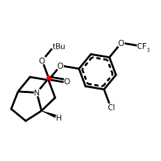 CC(C)(C)OC(=O)N1C2CC[C@H]1CC(Oc1cc(Cl)cc(OC(F)(F)F)c1)C2